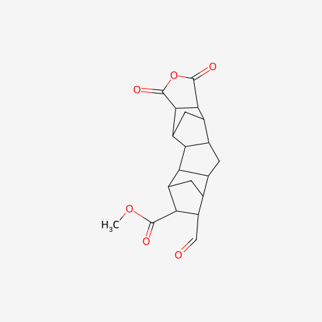 COC(=O)C1C(C=O)C2CC1C1C2CC2C3CC(C4C(=O)OC(=O)C34)C21